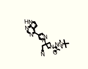 CC(C)(C)[Si](C)(C)N=S(C)(=O)N1CC(CC#N)(n2cc(-c3ncnc4[nH]ccc34)cn2)C1